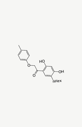 CCCCCCc1cc(C(=O)COc2ccc(C)cc2)c(O)cc1O